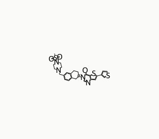 CS(=O)(=O)N1CCN(Cc2ccc3c(c2)CC[C@H](n2cnc4cc(-c5ccsc5)sc4c2=O)C3)CC1